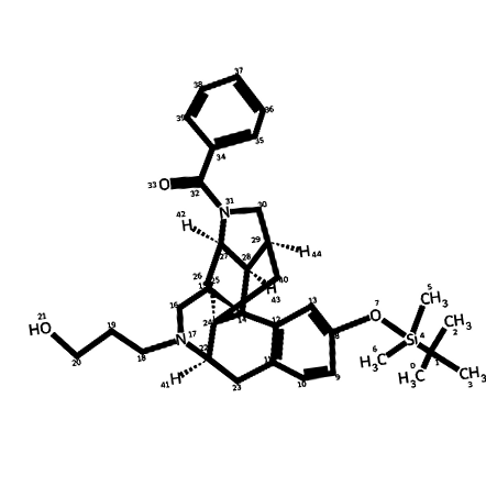 CC(C)(C)[Si](C)(C)Oc1ccc2c(c1)[C@]13CCN(CCCO)[C@H](C2)[C@]12CC[C@@H]1[C@H]3[C@@H](CN1C(=O)c1ccccc1)C2